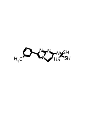 Cc1cccc(-c2cn3ccc(NC(S)(S)S)nc3n2)c1